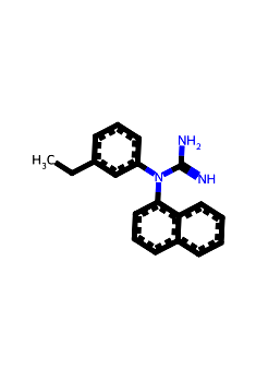 CCc1cccc(N(C(=N)N)c2cccc3ccccc23)c1